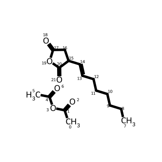 CC(=O)OC(C)=O.CCCCCCC=CC1CC(=O)OC1=O